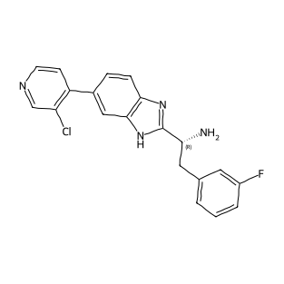 N[C@H](Cc1cccc(F)c1)c1nc2ccc(-c3ccncc3Cl)cc2[nH]1